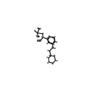 [2H]C([2H])(C)CC(O)c1cccc(OCC2CCCCC2)c1